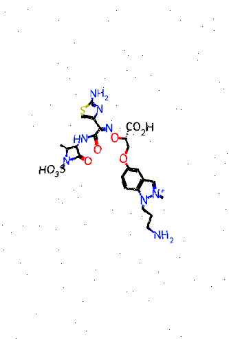 C[C@H]1[C@H](NC(=O)/C(=N\O[C@@H](COc2ccc3c(c2)c[n+](C)n3CCCN)C(=O)O)c2csc(N)n2)C(=O)N1S(=O)(=O)O